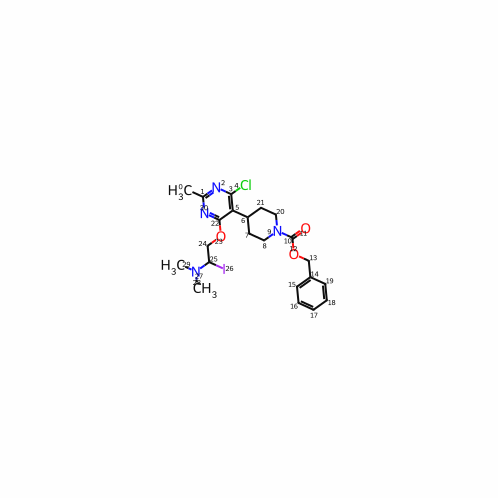 Cc1nc(Cl)c(C2CCN(C(=O)OCc3ccccc3)CC2)c(OCC(I)N(C)C)n1